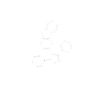 c1ccc(-c2nnc(-c3ccccc3)n2-c2ccc3c(c2)-c2ccccc2C3)cc1